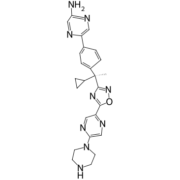 C[C@](c1ccc(-c2cnc(N)cn2)cc1)(c1noc(-c2cnc(N3CCNCC3)cn2)n1)C1CC1